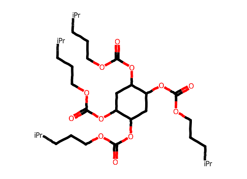 CC(C)CCCOC(=O)OC1CC(OC(=O)OCCCC(C)C)C(OC(=O)OCCCC(C)C)CC1OC(=O)OCCCC(C)C